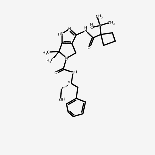 CC1(C)c2[nH]nc(NC(=O)C3(S(C)(C)C)CCC3)c2CN1C(=O)N[C@@H](CO)Cc1ccccc1